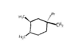 CC(C)[C@]1(C)CCN(C)[C@@H](C)C1